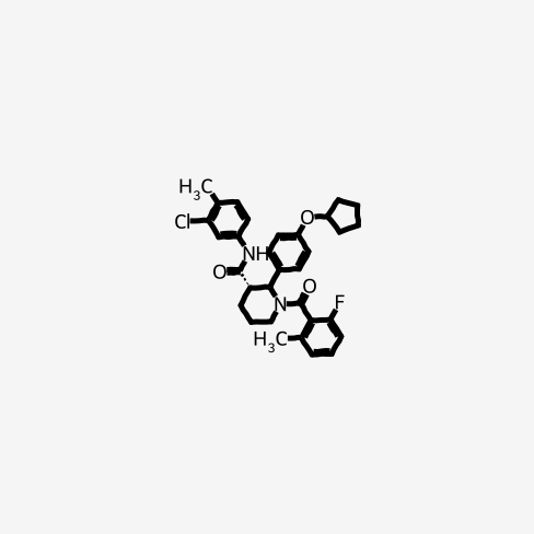 Cc1ccc(NC(=O)[C@H]2CCCN(C(=O)c3c(C)cccc3F)C2c2ccc(OC3CCCC3)cc2)cc1Cl